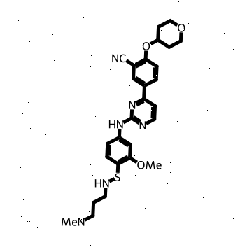 CNCCCNSc1ccc(Nc2nccc(-c3ccc(OC4CCOCC4)c(C#N)c3)n2)cc1OC